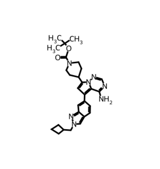 CC(C)(C)OC(=O)N1CCC(c2cc(-c3ccc4cn(CC5CCC5)nc4c3)c3c(N)ncnn23)CC1